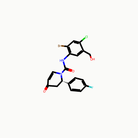 O=C1C=CN(C(=O)Nc2cc(CO)c(Cl)cc2Br)[C@H](c2ccc(F)cc2)C1